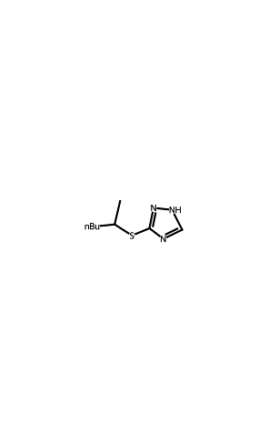 CCCCC(C)Sc1nc[nH]n1